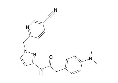 CN(C)c1ccc(CC(=O)Nc2ccn(Cc3ccc(C#N)cn3)n2)cc1